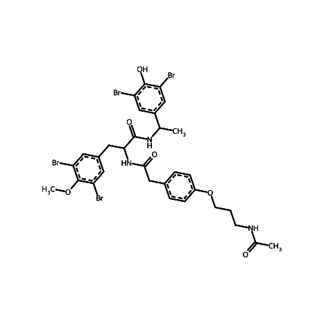 COc1c(Br)cc(CC(NC(=O)Cc2ccc(OCCCNC(C)=O)cc2)C(=O)NC(C)c2cc(Br)c(O)c(Br)c2)cc1Br